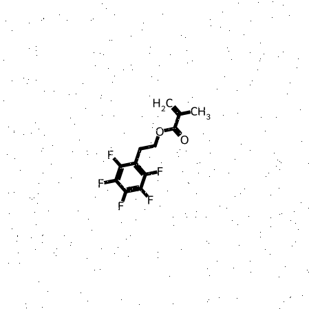 C=C(C)C(=O)OCCc1c(F)c(F)c(F)c(F)c1F